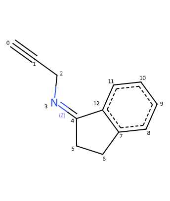 C#CC/N=C1/CCc2ccccc21